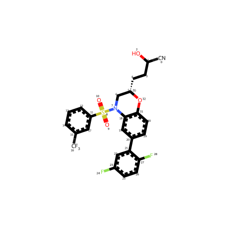 N#CC(O)CC[C@H]1CN(S(=O)(=O)c2cccc(C(F)(F)F)c2)c2cc(-c3cc(F)ccc3F)ccc2O1